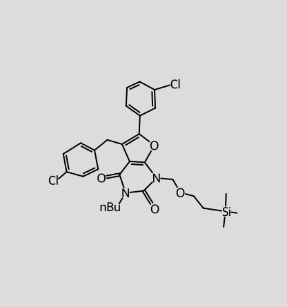 CCCCn1c(=O)c2c(Cc3ccc(Cl)cc3)c(-c3cccc(Cl)c3)oc2n(COCC[Si](C)(C)C)c1=O